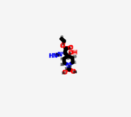 CCOC(=O)C(=[N+]=N)C1(O)CCN(C(=O)[O-])CC1